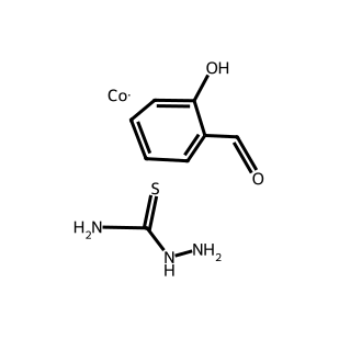 NNC(N)=S.O=Cc1ccccc1O.[Co]